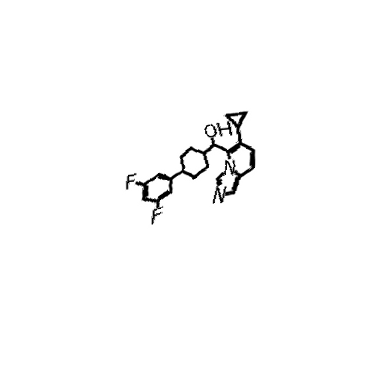 OC(c1c(C2CC2)ccc2cncn12)C1CCC(c2cc(F)cc(F)c2)CC1